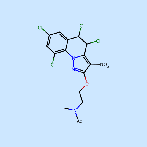 CC(=O)N(C)CCOc1nn2c(c1[N+](=O)[O-])C(Cl)C(Cl)c1cc(Cl)cc(Cl)c1-2